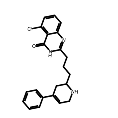 O=c1[nH]c(CCCC2CC(c3ccccc3)=CCN2)nc2cccc(Cl)c12